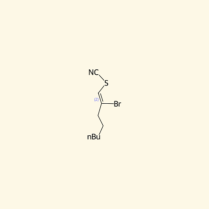 CCCCCC/C(Br)=C/SC#N